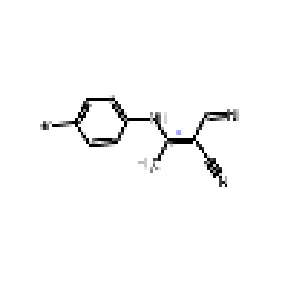 C/C(Nc1ccc(Br)cc1)=C(\C#N)C=N